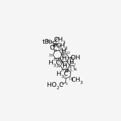 C[C@H](CCC(=O)O)[C@H]1CC[C@H]2[C@@H]3[C@@H](O)C[C@@H]4C[C@H](O[Si](C)(C)C(C)(C)C)CC[C@]4(C)[C@H]3CC[C@]12C